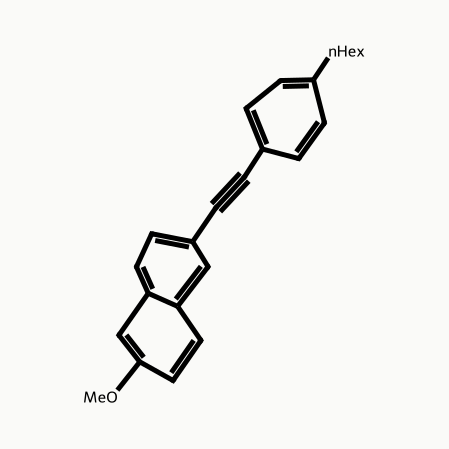 CCCCCCc1ccc(C#Cc2ccc3cc(OC)ccc3c2)cc1